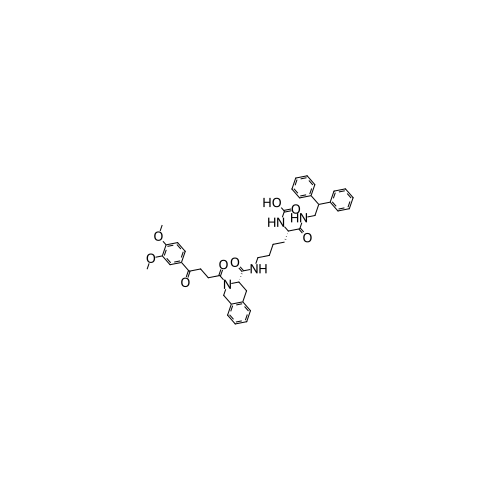 COc1ccc(C(=O)CCC(=O)N2Cc3ccccc3C[C@H]2C(=O)NCCCC[C@H](NC(=O)O)C(=O)NCC(c2ccccc2)c2ccccc2)cc1OC